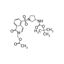 CC(=O)OCn1ccc2c(S(=O)(=O)N3CCC(NC(=O)OC(C)(C)C)C3)cccc2c1=O